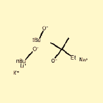 CC(C)(C)[O-].CCC(C)(C)[O-].CCCC[O-].[K+].[Li+].[Na+]